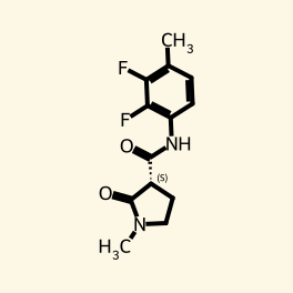 Cc1ccc(NC(=O)[C@@H]2CCN(C)C2=O)c(F)c1F